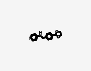 c1cc(NCc2ccc(C3OCCO3)cc2)ccn1